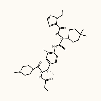 CCC(=O)N[C@@H](C(=O)N1CCN(C)CC1)[C@@H](C)c1ccc(NC(=O)[C@@H](NC(=O)c2ccnn2CC)C2CCC(C)(C)CC2)c(F)c1